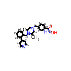 CC1CN(Cc2ccc(C(=O)NO)cc2)CC(C)N1Cc1ccccc1-c1ccncc1